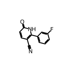 N#Cc1ccc(=O)[nH]c1-c1cccc(F)c1